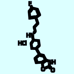 Cl.O=c1[nH]c2cc(C3CCC(NCCCc4ccc(F)cc4)CC3)ccc2o1